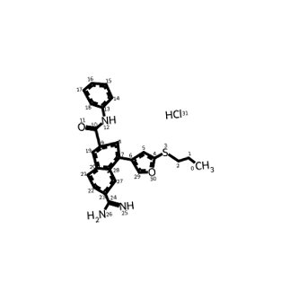 CCCSc1cc(-c2cc(C(=O)Nc3ccccc3)cc3ccc(C(=N)N)cc23)co1.Cl